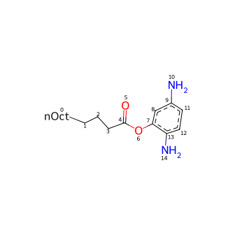 CCCCCCCCCCCC(=O)Oc1cc(N)ccc1N